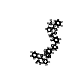 Cc1c(NC(=O)[C@@H]2CCCN2C(=O)[C@@H](c2ccccc2)N(C)C)cccc1-c1ncc(-c2ccc3[nH]c([C@@H]4CCCN4C(=O)[C@@H](c4ccccc4)N(C)C)nc3c2)o1